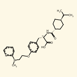 CC(C)[C@H]1CC[C@H](C(=O)N[C@@H](Cc2ccc(OCCN(C)c3ccccn3)cc2)C(=O)O)CC1